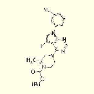 C[C@@H]1CN(c2ncnc3c2c(I)cn3-c2cccc(C#N)c2)CCN1C(=O)OC(C)(C)C